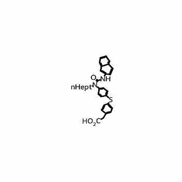 CCCCCCCN(C(=O)Nc1ccc2ccccc2c1)c1ccc(Sc2ccc(CC(=O)O)cc2)cc1